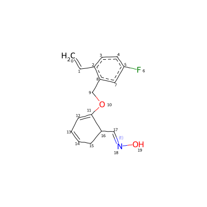 C=Cc1ccc(F)cc1COC1=CC=CCC1/C=N/O